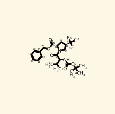 CC(C)[C@H](NC(=O)OC(C)(C)C)C(=O)N1C[C@H](C(F)(F)F)C[C@H]1C(=O)OCc1ccccc1